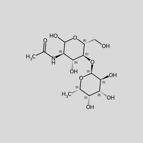 CC(=O)N[C@H]1C(O)O[C@H](CO)[C@@H](O[C@@H]2O[C@@H](C)[C@@H](O)[C@@H](O)[C@@H]2O)[C@@H]1O